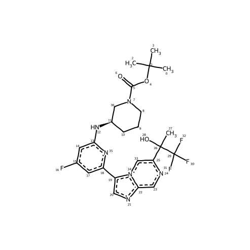 CC(C)(C)OC(=O)N1CCC[C@@H](Nc2cc(F)cc(-c3cnc4cnc(C(C)(O)C(F)(F)F)cn34)n2)C1